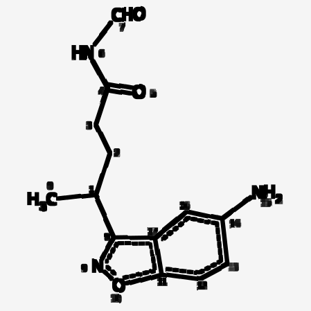 CC(CCC(=O)NC=O)c1noc2ccc(N)cc12